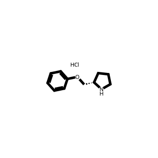 Cl.c1ccc(OC[C@@H]2CCCN2)cc1